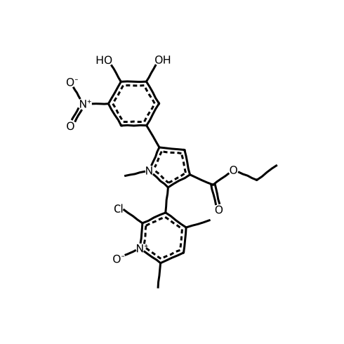 CCOC(=O)c1cc(-c2cc(O)c(O)c([N+](=O)[O-])c2)n(C)c1-c1c(C)cc(C)[n+]([O-])c1Cl